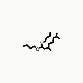 CCCCOC(CC(C)CCCC(C)C)OCCCC